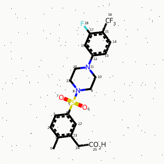 Cc1ccc(S(=O)(=O)N2CCN(c3ccc(C(F)(F)F)c(F)c3)CC2)cc1CC(=O)O